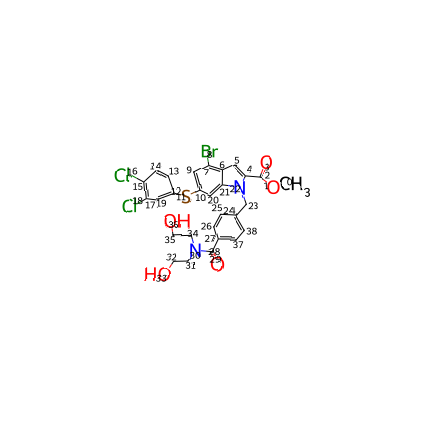 COC(=O)c1cc2c(Br)cc(Sc3ccc(Cl)c(Cl)c3)cc2n1Cc1ccc(C(=O)N(CCO)CCO)cc1